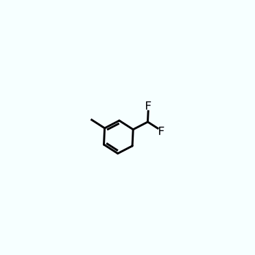 CC1=CC(C(F)F)CC=C1